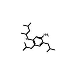 CC(C)Cc1cc(CC(C)C)c(NC(C)CC(C)C)cc1N